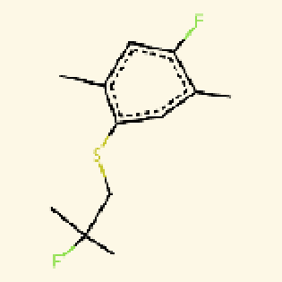 Cc1cc(SCC(C)(C)F)c(C)cc1F